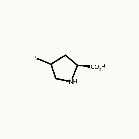 O=C(O)[C@@H]1CC(I)CN1